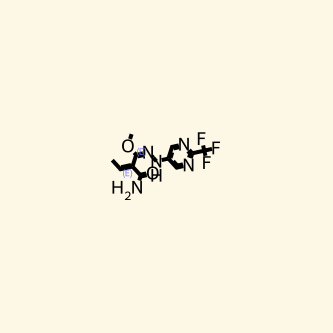 C/C=C(C(N)=O)\C(=N/Nc1cnc(C(F)(F)F)nc1)OC